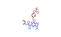 C=C(/C=C\C)CC(=O)Nc1nc(OCc2ccc(OC(=O)C(C)(C)C)cc2)c2ncn(C(C)C)c2n1